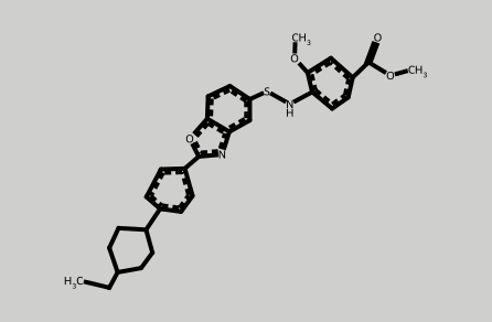 CCC1CCC(c2ccc(-c3nc4cc(SNc5ccc(C(=O)OC)cc5OC)ccc4o3)cc2)CC1